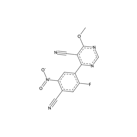 COc1ncnc(-c2cc([N+](=O)[O-])c(C#N)cc2F)c1C#N